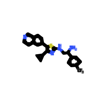 NC(CNc1nc(C2CC2)c(-c2ccc3cnccc3c2)s1)c1ccc(C(F)(F)F)cc1